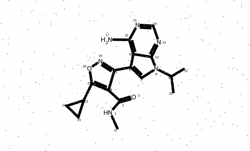 CNC(=O)c1c(-c2cn(C(C)C)c3ncnc(N)c23)noc1C1CC1